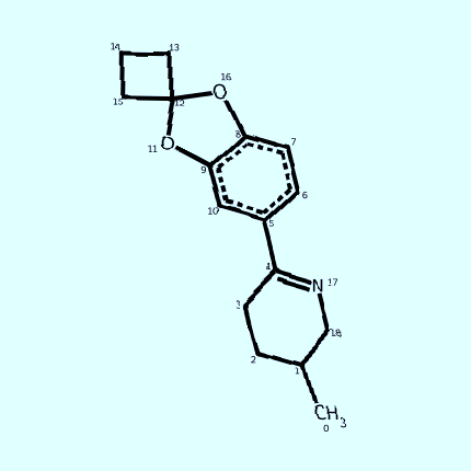 CC1CCC(c2ccc3c(c2)OC2(CCC2)O3)=NC1